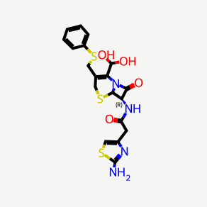 Nc1nc(CC(=O)N[C@@H]2C(=O)N3C(C(O)O)=C(CSc4ccccc4)CSC23)cs1